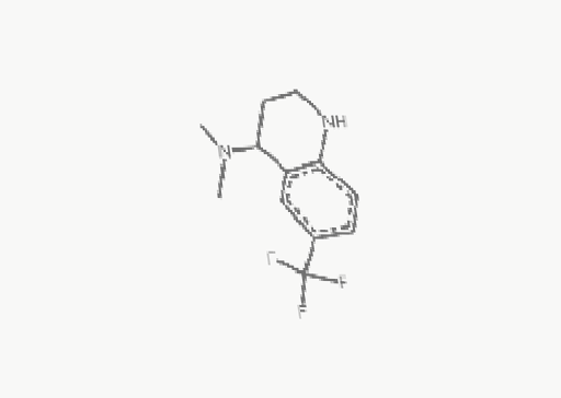 CN(C)[C@H]1CCNc2ccc(C(F)(F)F)cc21